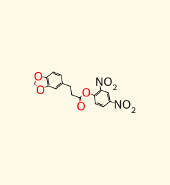 O=C(CCc1ccc2c(c1)OCO2)Oc1ccc([N+](=O)[O-])cc1[N+](=O)[O-]